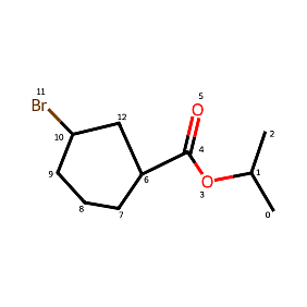 CC(C)OC(=O)C1CCCC(Br)C1